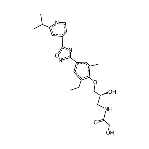 CCc1cc(-c2noc(-c3ccnc(C(C)C)c3)n2)cc(C)c1OC[C@@H](O)CNC(=O)CO